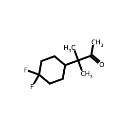 CC(=O)C(C)(C)C1CCC(F)(F)CC1